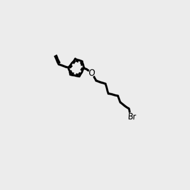 C=Cc1ccc(OCCCCCCBr)cc1